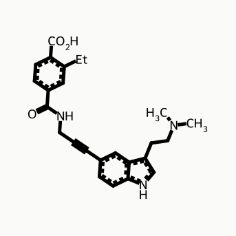 CCc1cc(C(=O)NCC#Cc2ccc3[nH]cc(CCN(C)C)c3c2)ccc1C(=O)O